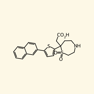 O=C(O)CC1(c2ccc(-c3ccc4ccccc4c3)s2)CCNCCS1(=O)=O